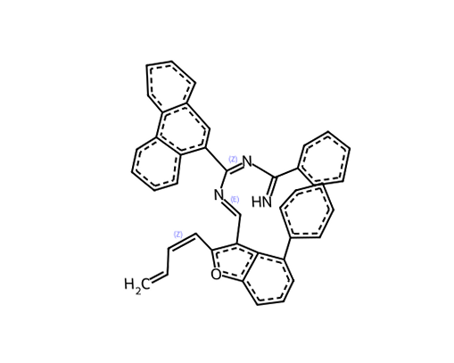 C=C/C=C\c1oc2cccc(-c3ccccc3)c2c1/C=N/C(=N\C(=N)c1ccccc1)c1cc2ccccc2c2ccccc12